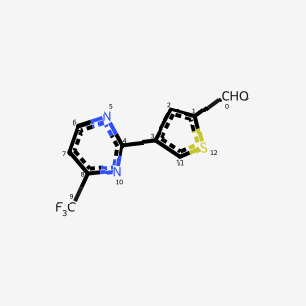 O=Cc1cc(-c2nccc(C(F)(F)F)n2)cs1